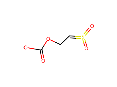 [O]C(=O)OCC=S(=O)=O